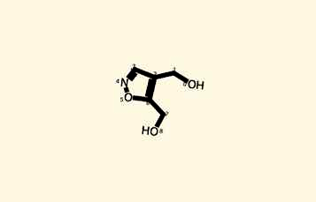 OCc1[c]noc1CO